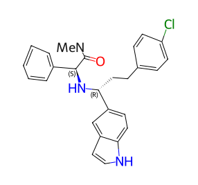 CNC(=O)[C@@H](N[C@H](CCc1ccc(Cl)cc1)c1ccc2[nH]ccc2c1)c1ccccc1